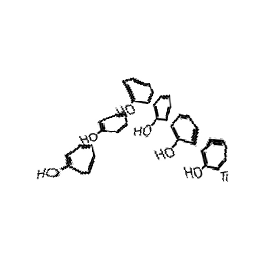 Oc1ccccc1.Oc1ccccc1.Oc1ccccc1.Oc1ccccc1.Oc1ccccc1.Oc1ccccc1.[Ti]